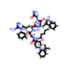 CCCCC(=O)NC1(C(=O)N[C@H](Cc2ccccc2)C(=O)N[C@@H](CCCNC(=N)N)C(=O)N[C@@H](Cc2c[nH]c3ccccc23)C(=O)NCC(N)=O)CCN(c2ccccc2C(C)C)CC1